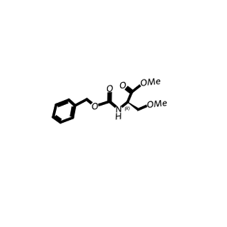 COC[C@@H](NC(=O)OCc1ccccc1)C(=O)OC